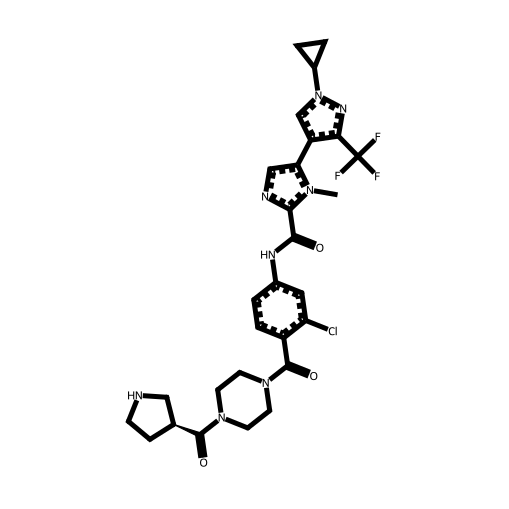 Cn1c(-c2cn(C3CC3)nc2C(F)(F)F)cnc1C(=O)Nc1ccc(C(=O)N2CCN(C(=O)[C@H]3CCNC3)CC2)c(Cl)c1